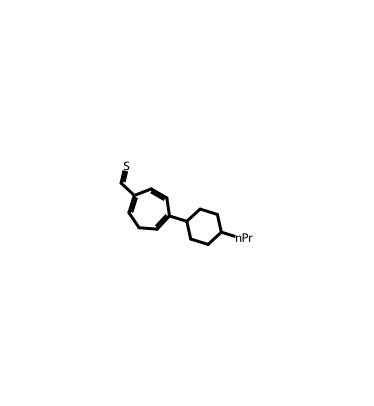 CCCC1CCC(C2=CCC=C(C=S)C=C2)CC1